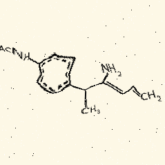 C=C/C=C(\N)C(C)c1ccc(NC(C)=O)cc1